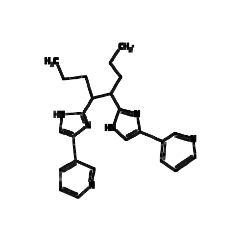 [CH2]CCC(c1nc(-c2cccnc2)c[nH]1)C(CCC)c1nc(-c2cccnc2)c[nH]1